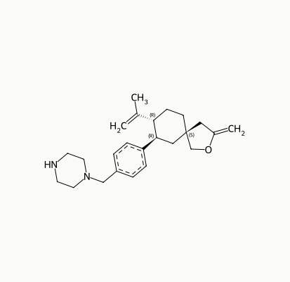 C=C1C[C@@]2(CC[C@@H](C(=C)C)[C@H](c3ccc(CN4CCNCC4)cc3)C2)CO1